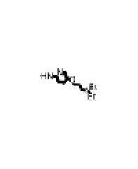 CCN(CC)CCCOc1ccc([NH])nc1